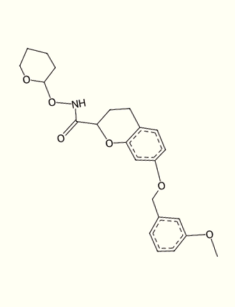 COc1cccc(COc2ccc3c(c2)OC(C(=O)NOC2CCCCO2)CC3)c1